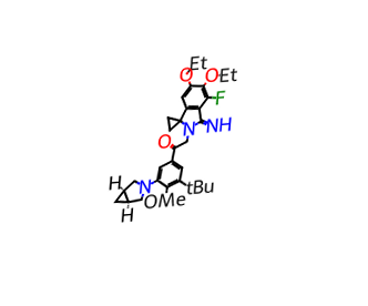 CCOc1cc2c(c(F)c1OCC)C(=N)N(CC(=O)c1cc(N3C[C@H]4C[C@H]4C3)c(OC)c(C(C)(C)C)c1)C21CC1